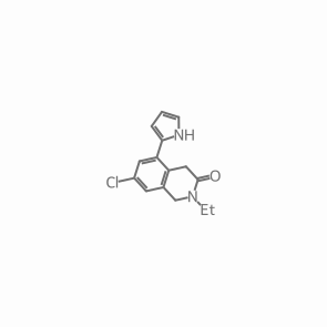 CCN1Cc2cc(Cl)cc(-c3ccc[nH]3)c2CC1=O